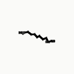 O=NNCCCCCCCC(=O)O